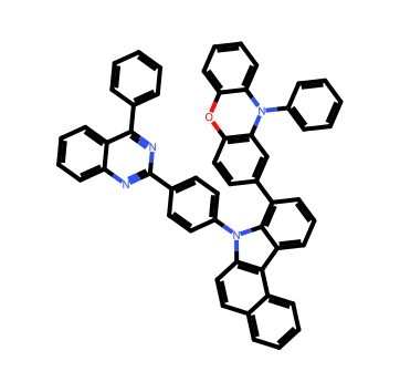 c1ccc(-c2nc(-c3ccc(-n4c5ccc6ccccc6c5c5cccc(-c6ccc7c(c6)N(c6ccccc6)c6ccccc6O7)c54)cc3)nc3ccccc23)cc1